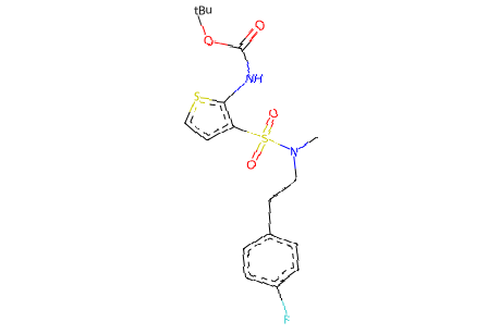 CN(CCc1ccc(F)cc1)S(=O)(=O)c1ccsc1NC(=O)OC(C)(C)C